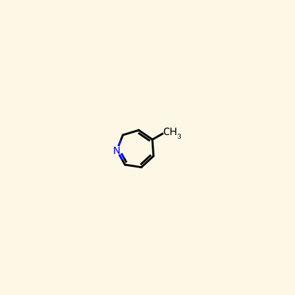 CC1=CCN=CC=C1